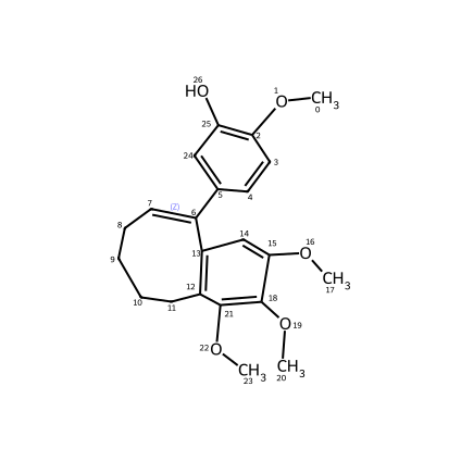 COc1ccc(/C2=C/CCCCc3c2cc(OC)c(OC)c3OC)cc1O